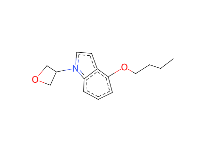 CCCCOc1cccc2c1ccn2C1COC1